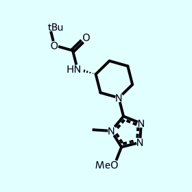 COc1nnc(N2CCC[C@@H](NC(=O)OC(C)(C)C)C2)n1C